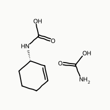 NC(=O)O.O=C(O)N[C@@H]1C=CCCC1